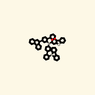 c1ccc(-c2ccc(-c3cc4ccccc4c4ccccc34)cc2N(c2ccc(-c3ccccc3-n3c4ccccc4c4ccccc43)cc2)c2ccc3c(c2)oc2ccccc23)cc1